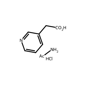 CC(N)=O.Cl.O=C(O)Cc1cccnc1